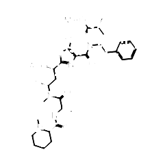 COC(=O)[C@@H](C)C[C@H](Cc1ccccc1)NC(=O)c1nc([C@@H](C[C@H](C(C)C)N(C)C(=O)[C@@H](NC(=O)[C@H]2CCCCN2C)C(C)C)OC(C)=O)sc1C(C)C